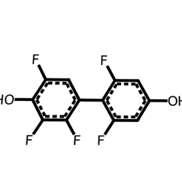 Oc1cc(F)c(-c2cc(F)c(O)c(F)c2F)c(F)c1